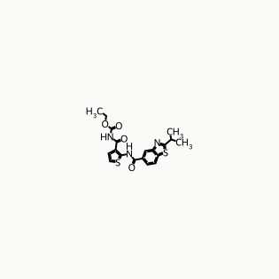 CCOC(=O)NC(=O)c1ccsc1NC(=O)c1ccc2sc(C(C)C)nc2c1